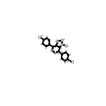 [O-][n+]1onc2c(-c3ccc(Cl)cc3)nnc(-c3ccc(Cl)cc3)c21